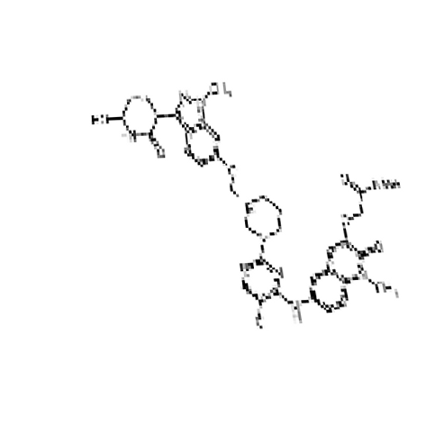 CNC(=O)COc1cc2cc(Nc3nc(N4CCC[C@@H](COc5ccc6c(C7CCC(O)NC7=O)nn(C)c6c5)C4)ncc3Cl)ccc2n(C)c1=O